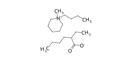 CCCCC(CC)C(=O)[O-].CCCC[N+]1(C)CCCCC1